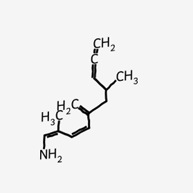 C=C=CC(C)CC(=C)/C=C\C(C)=C/N